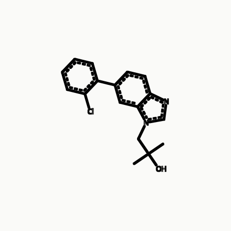 CC(C)(O)Cn1cnc2ccc(-c3ccccc3Cl)cc21